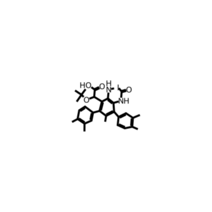 CNc1c(NC(=O)I)c(-c2ccc(C)c(C)c2)c(C)c(-c2ccc(C)c(C)c2)c1C(OC(C)(C)C)C(=O)O